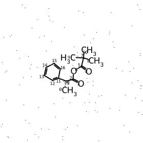 C[C@@H](C(=O)OC(=O)C(C)(C)C)c1ccccc1